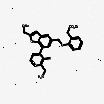 CCOC(=O)Cc1ccccc1OCc1cc(-c2cccc(CN)c2F)c2oc(COC)cc2c1